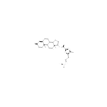 Cc1nc(C(=O)OC2CCC3C4CCC5=CC(=O)CCC5(C)C4CCC23C)sc1CCO[N+](=O)[O-]